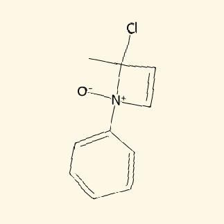 CC1(Cl)C=C[N+]1([O-])c1ccccc1